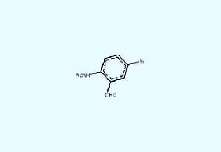 CC(=O)Nc1ccc(Br)cc1C=O